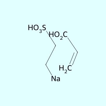 C=CC(=O)O.O=S(=O)(O)C[CH2][Na]